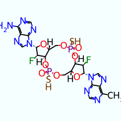 Cc1ncnc2c1ncn2[C@@H]1O[C@@H]2CO[P@](=O)(S)O[C@H]3[C@@H](F)[C@H](n4cnc5c(N)ncnc54)O[C@@H]3CO[P@@](=O)(S)O[C@H]2[C@H]1F